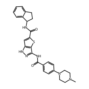 CN1CCN(c2ccc(C(=O)Nc3n[nH]c4cc(C(=O)NC5CCc6ccccc65)sc34)cc2)CC1